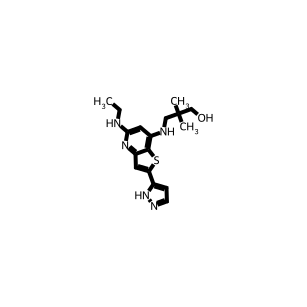 CCNc1cc(NCC(C)(C)CO)c2sc(-c3ccn[nH]3)cc2n1